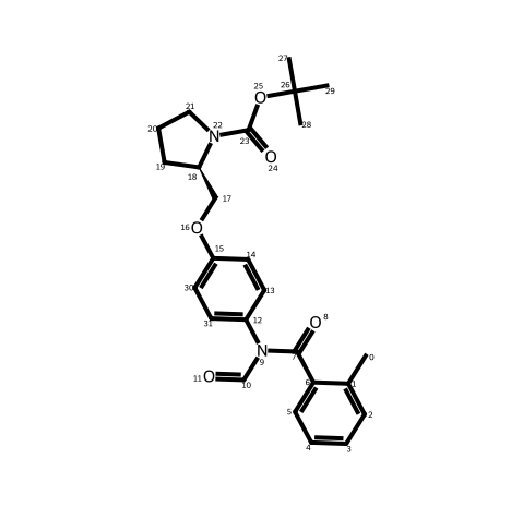 Cc1ccccc1C(=O)N(C=O)c1ccc(OC[C@H]2CCCN2C(=O)OC(C)(C)C)cc1